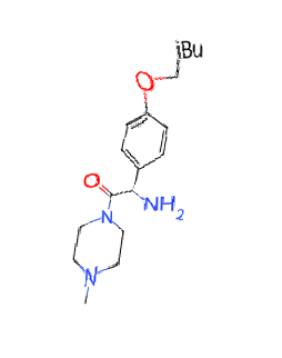 CCC(C)COc1ccc(C(N)C(=O)N2CCN(C)CC2)cc1